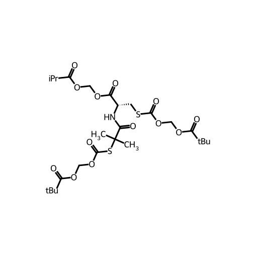 CC(C)C(=O)OCOC(=O)[C@H](CSC(=O)OCOC(=O)C(C)(C)C)NC(=O)C(C)(C)SC(=O)OCOC(=O)C(C)(C)C